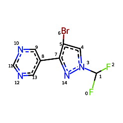 FC(F)n1cc(Br)c(-c2cncnc2)n1